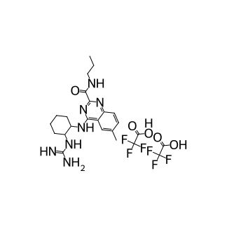 CCCNC(=O)c1nc(NC2CCCCC2NC(=N)N)c2cc(C)ccc2n1.O=C(O)C(F)(F)F.O=C(O)C(F)(F)F